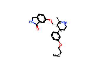 COCCOc1cccc([C@@H]2CCN[C@H](C)[C@H]2COc2ccc3c(c2)C(=O)NC3)c1